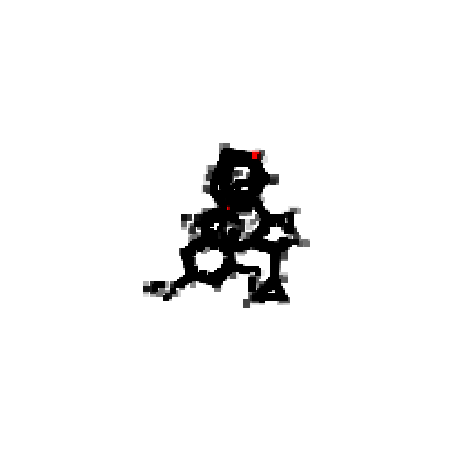 CC(C)Oc1cc(C(=O)O)cc2sc(N3C4CCC3CC(N(Cc3c(-c5ccccc5OC(F)(F)F)noc3C3CC3)C(C)C)C4)nc12